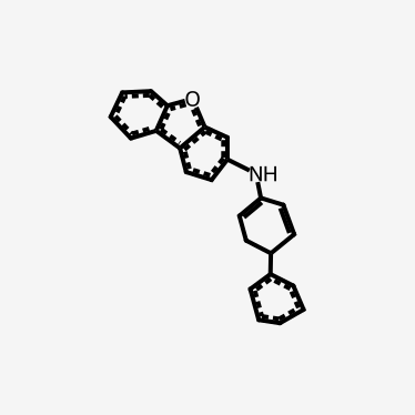 C1=CC(c2ccccc2)CC=C1Nc1ccc2c(c1)oc1ccccc12